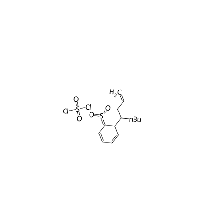 C=CCC(CCCC)C1C=CC=CC1=S(=O)=O.O=S(=O)(Cl)Cl